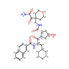 NC(=O)C(=O)C1(CNC(=O)[C@@H]2C[C@@H](O)CN2C(=O)[C@@H](CC2CCCCC2)NC(=O)c2ccc3ccccc3c2)CCOCC1